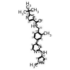 Cc1cc(-c2ccnc(Nc3cnn(C)c3)n2)ccc1CNC(=O)c1cnc(C(C)(C)C)s1